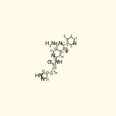 Cc1ccncc1-c1nc(N)c2cnc(NC(=O)C3CC3c3cn[nH]c3)cc2c1F